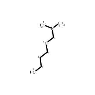 CN(C)COCCCO